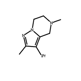 Cc1nn2c(c1C(C)C)CN(C)CC2